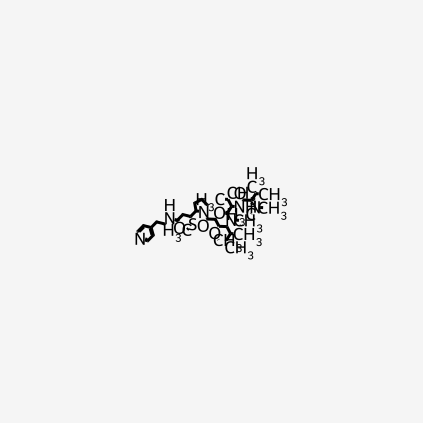 CCC(C)C(C(CC(=O)N1CCCC1C(CC(=O)NCCc1ccncc1)SC)OC)N(C)C(=O)C(NC(=O)C(C(C)C)N(C)C)C(C)C